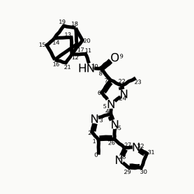 Cc1cnc(-n2cc(C(=O)NCC34CC5CC(CC(C5)C3)C4)c(C)n2)nc1-c1ncccn1